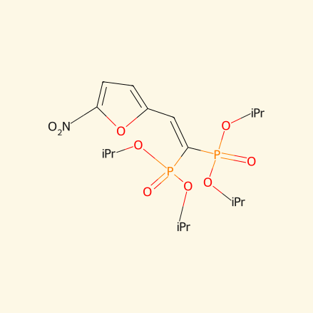 CC(C)OP(=O)(OC(C)C)C(=Cc1ccc([N+](=O)[O-])o1)P(=O)(OC(C)C)OC(C)C